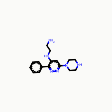 NCCNc1cc(N2CCNCC2)nnc1-c1ccccc1